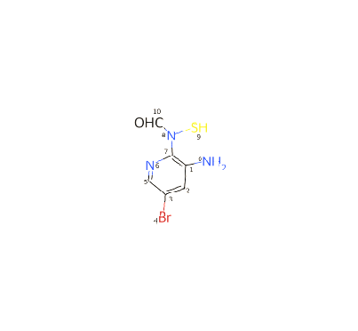 Nc1cc(Br)cnc1N(S)C=O